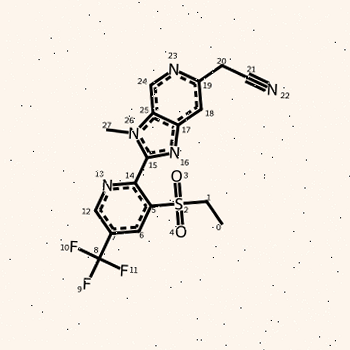 CCS(=O)(=O)c1cc(C(F)(F)F)cnc1-c1nc2cc(CC#N)ncc2n1C